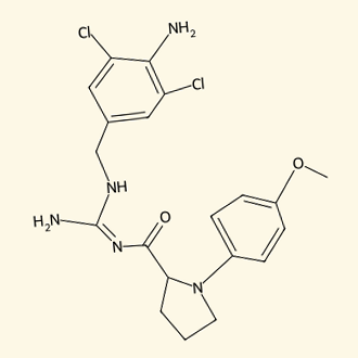 COc1ccc(N2CCCC2C(=O)N=C(N)NCc2cc(Cl)c(N)c(Cl)c2)cc1